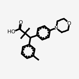 Cc1cccc(C(c2ccc(N3CCOCC3)cc2)C(C)(C)C(=O)O)c1